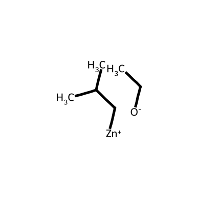 CC(C)[CH2][Zn+].CC[O-]